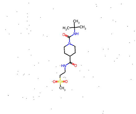 CC(C)(C)NC(=O)N1CCC(C(=O)NCCS(C)(=O)=O)CC1